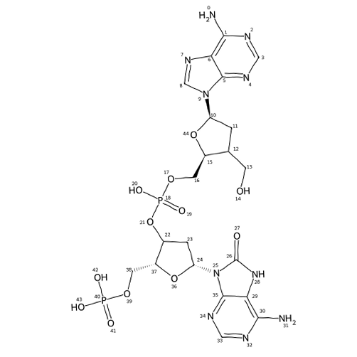 Nc1ncnc2c1ncn2[C@H]1CC(CO)[C@@H](COP(=O)(O)OC2C[C@H](n3c(=O)[nH]c4c(N)ncnc43)O[C@@H]2COP(=O)(O)O)O1